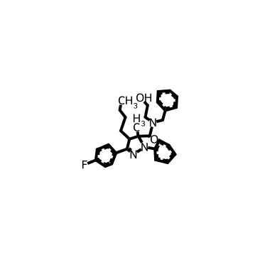 CCCCC1C(c2ccc(F)cc2)=NN(c2ccccc2)C1(C)C(=O)N(CCO)Cc1ccccc1